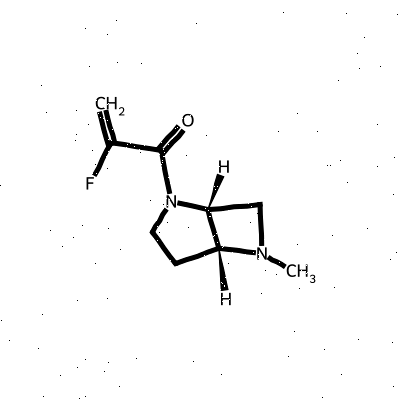 C=C(F)C(=O)N1CC[C@@H]2[C@H]1CN2C